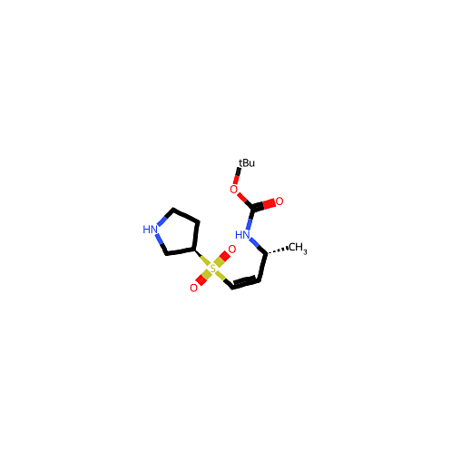 C[C@H](/C=C\S(=O)(=O)[C@@H]1CCNC1)NC(=O)OC(C)(C)C